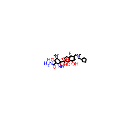 C=C(O)[C@]1(O)C(=N)C(C(N)=O)=C(O)[C@@H](N(C)C)[C@@H]1C[C@H]1CC(=O)c2c(O)cc(CN(C)CC3CCCC3)c(F)c2C1